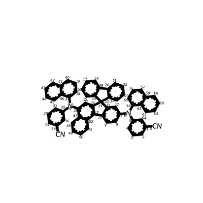 N#Cc1cccc(N(c2ccc3c(c2)C2(c4ccccc4-c4ccccc42)c2cc(N(c4cccc(C#N)c4)c4cccc5ccccc45)c4ccccc4c2-3)c2cccc3ccccc23)c1